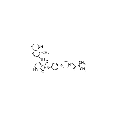 Cc1c(Nc2cc[nH]c(=O)c2C(=O)Nc2ccc(N3CCN(CC(=O)N(C)C)CC3)cc2)cnc2c1NCCO2